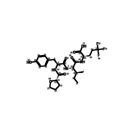 CC[C@H](C)[C@H](NC(=O)[C@H](Cc1ccc(O)cc1)NC(=O)[C@@H]1CCCO1)C(=O)N[C@@H](CCC(F)(F)F)C(=O)O